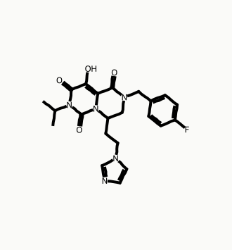 CC(C)n1c(=O)c(O)c2n(c1=O)C(CCn1ccnc1)CN(Cc1ccc(F)cc1)C2=O